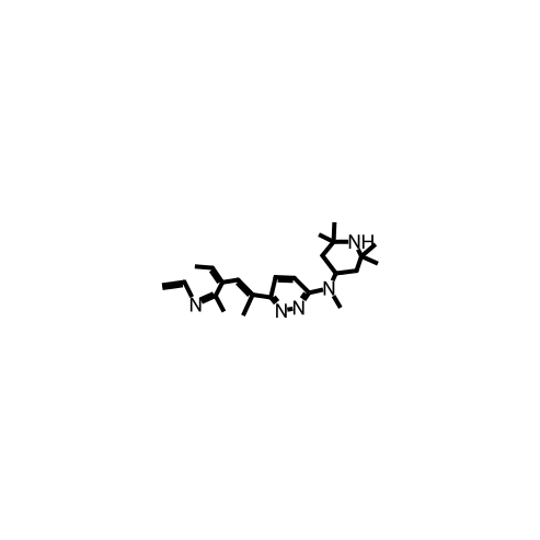 C=C\N=C(C)/C(=C\C)/C=C(\C)c1ccc(N(C)C2CC(C)(C)NC(C)(C)C2)nn1